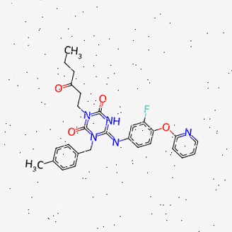 CCCC(=O)CCn1c(=O)[nH]/c(=N\c2ccc(Oc3ccccn3)c(F)c2)n(Cc2ccc(C)cc2)c1=O